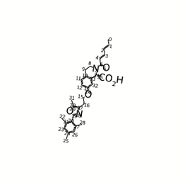 CC=CC=CC(=O)N1CCc2ccc(OCCc3nc(-c4c(C)cc(C)cc4C)oc3C)cc2C1C(=O)O